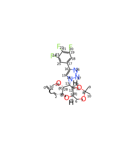 C=C=C[C@H]1O[C@@H]2COC(C)(C)O[C@@H]2C(n2cc(-c3cc(F)c(F)c(F)c3)nn2)[C@H]1OC